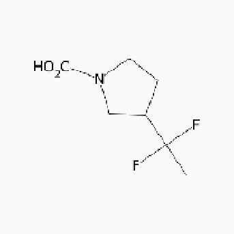 CC(F)(F)C1CCN(C(=O)O)C1